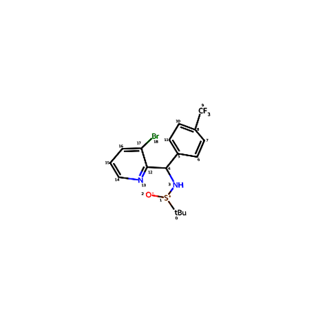 CC(C)(C)[S+]([O-])NC(c1ccc(C(F)(F)F)cc1)c1ncccc1Br